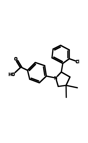 CC1(C)CC(c2ccccc2Cl)N(c2ccc(C(=O)O)cc2)C1